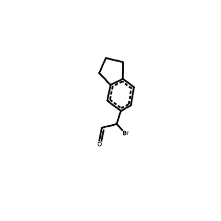 O=CC(Br)c1ccc2c(c1)CCC2